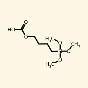 CO[Si](CCCCOC(=O)O)(OC)OC